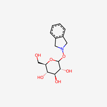 OC[C@H]1OC(ON2Cc3ccccc3C2)[C@H](O)[C@@H](O)[C@@H]1O